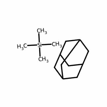 C1C2CC3CC1CC(C2)C3.C[Si](C)(C)C